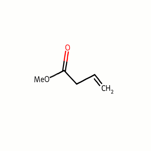 C=CCC(=O)OC